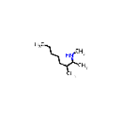 CCCCCC(C)C(C)NC